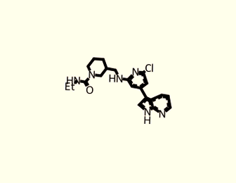 CCNC(=O)N1CCCC(CNc2cc(-c3c[nH]c4ncccc34)cc(Cl)n2)C1